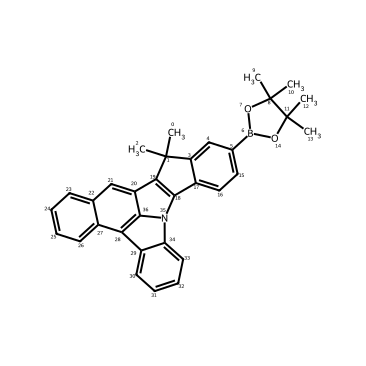 CC1(C)c2cc(B3OC(C)(C)C(C)(C)O3)ccc2-c2c1c1cc3ccccc3c3c4ccccc4n2c13